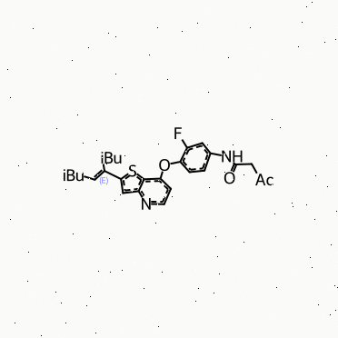 CCC(C)/C=C(/c1cc2nccc(Oc3ccc(NC(=O)CC(C)=O)cc3F)c2s1)C(C)CC